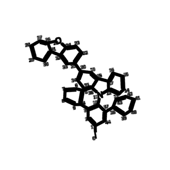 Ic1cc(-c2ccccc2)c(-n2c3ccccc3c3cc(-c4ccc5oc6ccccc6c5c4)ccc32)c(-c2ccccc2)c1